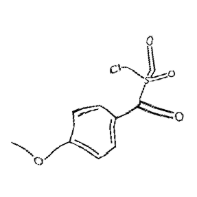 COc1ccc(C(=O)S(=O)(=O)Cl)cc1